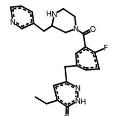 CCc1cc(Cc2ccc(F)c(C(=O)N3CCNC(Cc4cccnc4)C3)c2)n[nH]c1=O